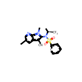 Cc1cnc2c(c1)c(C#N)c(N([C@@H](C)C(F)(F)F)S(=O)(=O)c1ccccc1)n2C